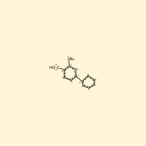 CCCCc1nc(-c2ccccc2)ccc1C(=O)O